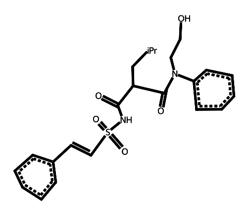 CC(C)CC(C(=O)NS(=O)(=O)/C=C/c1ccccc1)C(=O)N(CCO)c1ccccc1